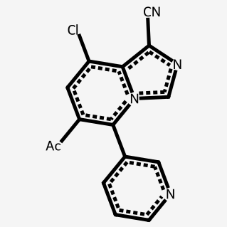 CC(=O)c1cc(Cl)c2c(C#N)ncn2c1-c1cccnc1